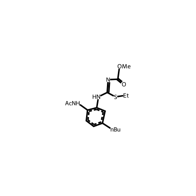 CCCCc1ccc(NC(C)=O)c(N/C(=N/C(=O)OC)SCC)c1